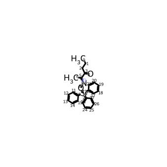 CCCC(=O)/C(C)=N/O[Si](c1ccccc1)(c1ccccc1)c1ccccc1